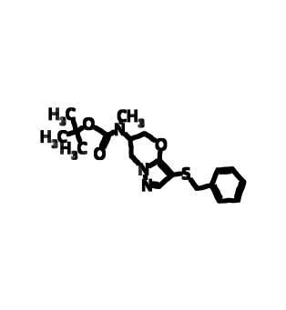 CN(C(=O)OC(C)(C)C)C1COc2c(SCc3ccccc3)cnn2C1